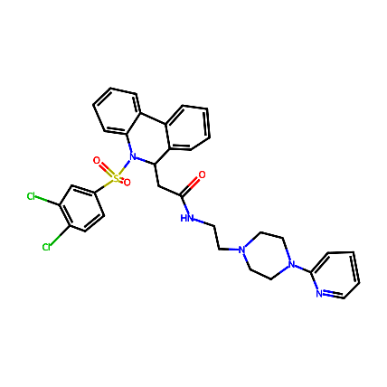 O=C(CC1c2ccccc2-c2ccccc2N1S(=O)(=O)c1ccc(Cl)c(Cl)c1)NCCN1CCN(c2ccccn2)CC1